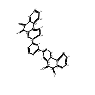 O=C1C(=O)c2cc(-c3cccc(-c4ccc5c(c4)C(=O)C(=O)c4ccccc4-5)c3)ccc2-c2ccccc21